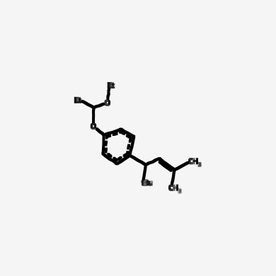 CCOC(CC)Oc1ccc(C(C=C(C)C)C(C)(C)C)cc1